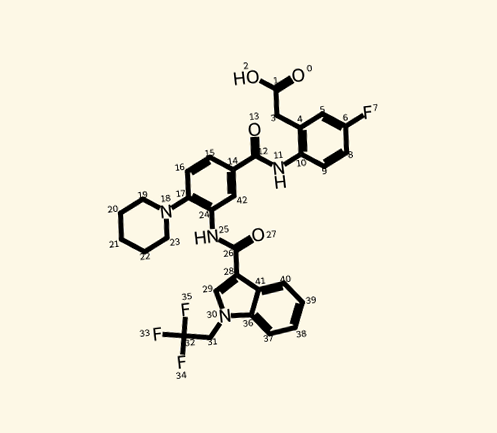 O=C(O)Cc1cc(F)ccc1NC(=O)c1ccc(N2CCCCC2)c(NC(=O)c2cn(CC(F)(F)F)c3ccccc23)c1